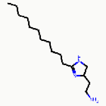 CCCCCCCCCCCC1=NC(CCN)CN1